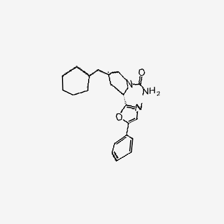 NC(=O)N1C[C](CC2CCCCC2)C[C@H]1c1ncc(-c2ccccc2)o1